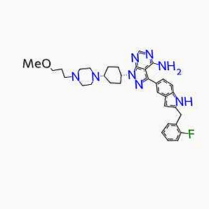 COCCCN1CCN([C@H]2CC[C@@H](n3nc(-c4ccc5[nH]c(Cc6ccccc6F)cc5c4)c4c(N)ncnc43)CC2)CC1